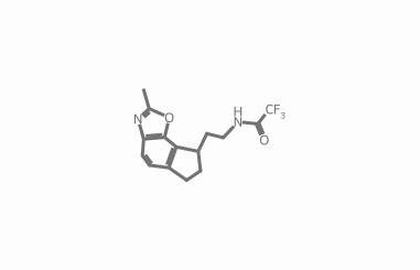 Cc1nc2ccc3c(c2o1)C(CCNC(=O)C(F)(F)F)CC3